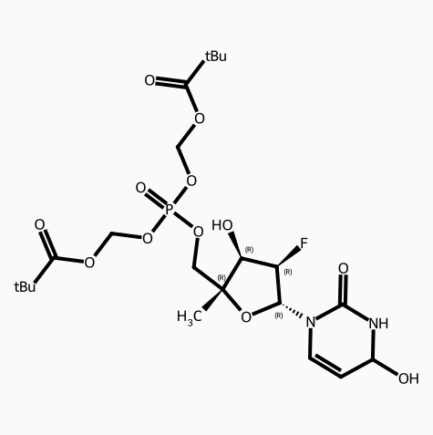 CC(C)(C)C(=O)OCOP(=O)(OCOC(=O)C(C)(C)C)OC[C@@]1(C)O[C@@H](N2C=CC(O)NC2=O)[C@H](F)[C@@H]1O